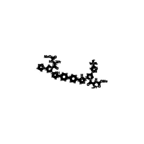 COC(=O)NC(C(=O)N1C[C@H](n2cc([Si](C)(C)C)nn2)C[C@H]1c1ncc(-c2ccc(-c3ccc(-c4cnc([C@@H]5C[C@@H](n6ccnn6)CN5C(=O)[C@@H](NC(=O)OC)C(C)C)[nH]4)cc3)cc2)[nH]1)C(C)C